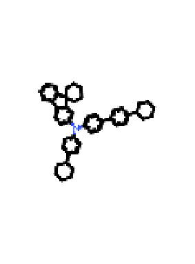 c1ccc2c(c1)-c1ccc(N(c3ccc(-c4ccc(C5CCCCC5)cc4)cc3)c3ccc(C4CCCCC4)cc3)cc1C21CCCCC1